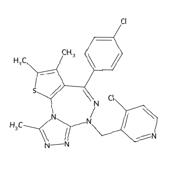 Cc1sc2c(c1C)C(c1ccc(Cl)cc1)=NN(Cc1cnccc1Cl)c1nnc(C)n1-2